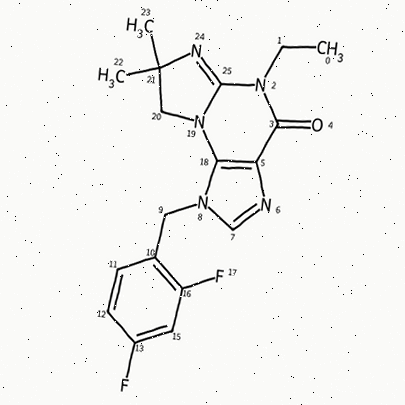 CCN1C(=O)c2ncn(Cc3ccc(F)cc3F)c2N2CC(C)(C)N=C12